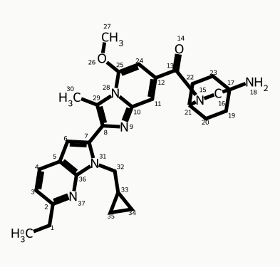 CCc1ccc2cc(-c3nc4cc(C(=O)N5CC6(N)CCC5CC6)cc(OC)n4c3C)n(CC3CC3)c2n1